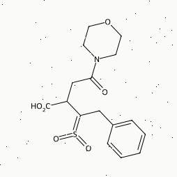 O=C(O)C(CC(=O)N1CCOCC1)C(Cc1ccccc1)=S(=O)=O